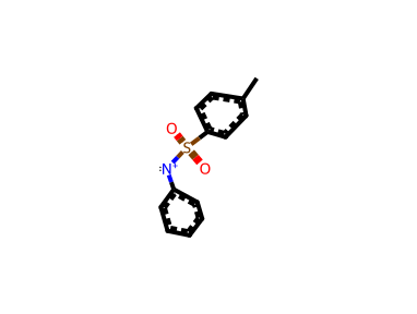 Cc1ccc(S(=O)(=O)[N+]c2ccccc2)cc1